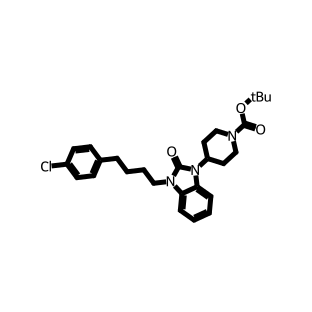 CC(C)(C)OC(=O)N1CCC(n2c(=O)n(CCCCc3ccc(Cl)cc3)c3ccccc32)CC1